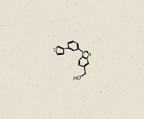 OCc1ccc2c(c1)ncn2-c1cccc(-c2ccoc2)c1